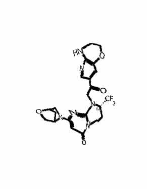 O=C(CN1c2nc(N3CC4CC3CO4)cc(=O)n2CC[C@H]1C(F)(F)F)c1cnc2c(c1)OCCN2